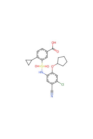 N#Cc1cc(NS(=O)(=O)c2cc(C(=O)O)ccc2C2CC2)c(OC2CCCC2)cc1Cl